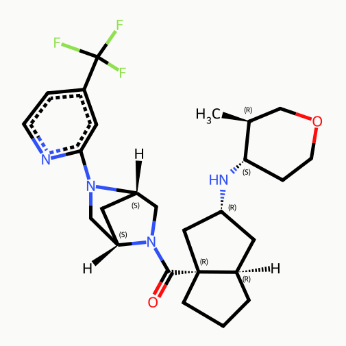 C[C@H]1COCC[C@@H]1N[C@@H]1C[C@H]2CCC[C@@]2(C(=O)N2C[C@@H]3C[C@H]2CN3c2cc(C(F)(F)F)ccn2)C1